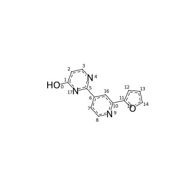 Oc1ccnc(-c2ccnc(-c3ccco3)c2)n1